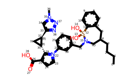 CCCCC1Cc2ccccc2S(O)(O)N(Cc2cccc(-n3ccc(C(=O)O)c3[C@@H]3C[C@H]3c3cn(C)nn3)c2)C1